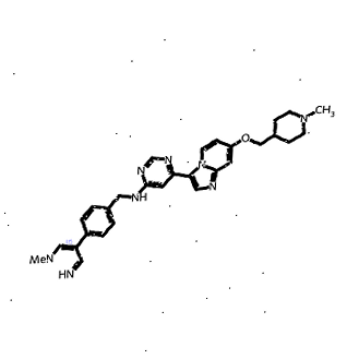 CN/C=C(\C=N)c1ccc(CNc2cc(-c3cnc4cc(OCC5CCN(C)CC5)ccn34)ncn2)cc1